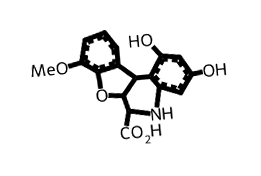 COc1cccc2c1OC1C(C(=O)O)Nc3cc(O)cc(O)c3C21